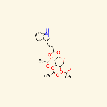 CCCC(=O)O[C@@H]1[C@@H](OC(=O)CC)[C@H](OC(=O)/C=C/c2c[nH]c3ccccc23)OC[C@H]1OC(=O)CCC